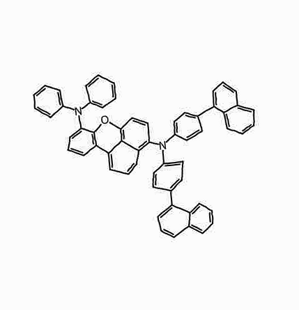 c1ccc(N(c2ccccc2)c2cccc3c2Oc2ccc(N(c4ccc(-c5cccc6ccccc56)cc4)c4ccc(-c5cccc6ccccc56)cc4)c4cccc-3c24)cc1